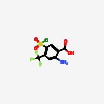 Nc1cc(C(F)(F)F)c(S(=O)(=O)Cl)cc1C(=O)O